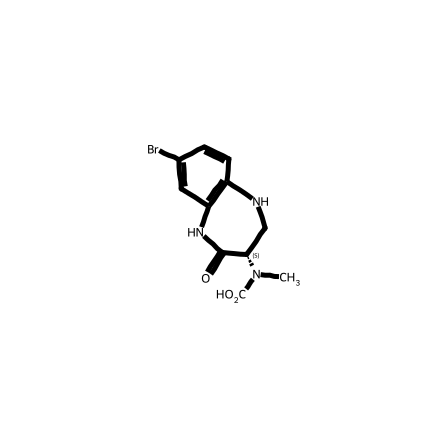 CN(C(=O)O)[C@H]1CNc2ccc(Br)cc2NC1=O